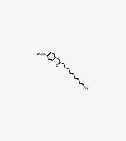 CCCC=CC=CC=CCCCC(=O)Oc1ccc(OC)cc1